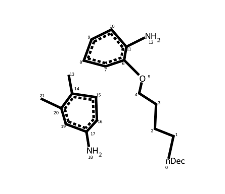 CCCCCCCCCCCCCCOc1ccccc1N.Cc1ccc(N)cc1C